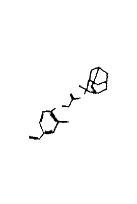 C=Cc1ccc(OCC(=O)OC2(C)C3CC4CC(C3)CC2C4)c(I)c1